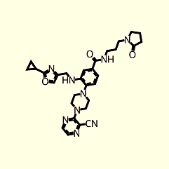 N#Cc1nccnc1N1CCN(c2ccc(C(=O)NCCCN3CCCC3=O)cc2NCc2coc(C3CC3)n2)CC1